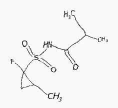 CC(C)C(=O)NS(=O)(=O)C1(F)CC1C